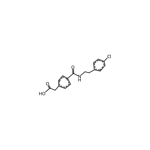 O=C(O)Cc1ccc(C(=O)NCCc2ccc(Cl)cc2)cc1